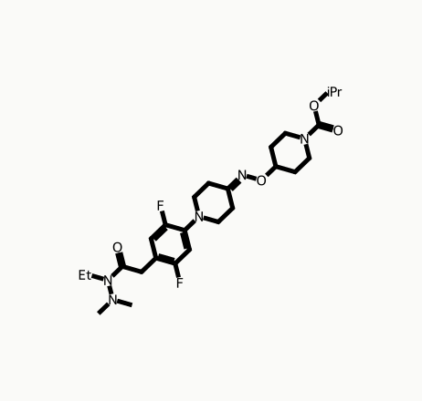 CCN(C(=O)Cc1cc(F)c(N2CCC(=NOC3CCN(C(=O)OC(C)C)CC3)CC2)cc1F)N(C)C